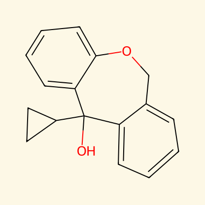 OC1(C2CC2)c2ccccc2COc2ccccc21